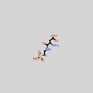 NC(CC(=O)O)C(=O)NCCS(=O)(=O)O